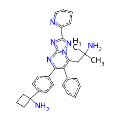 CC(C)(N)Cc1c(-c2ccccc2)c(-c2ccc(C3(N)CCC3)cc2)nc2nc(-c3ccccn3)nn12